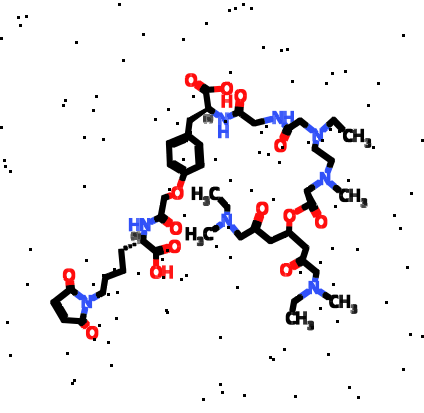 CCN(C)CC(=O)CC(CC(=O)CN(C)CC)OC(=O)CN(C)CCN(CC)CC(=O)NCC(=O)N[C@@H](Cc1ccc(OCC(=O)N[C@@H](CCCCN2C(=O)C=CC2=O)C(=O)O)cc1)C(=O)O